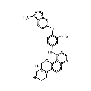 Cc1cc(Nc2ncnc3ccc4c(c23)OC[C@@H]2CNCCN42)ccc1Oc1ccc2c(c1)ncn2C